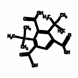 CC(C)(C)c1c(C(=O)O)cc(C(=O)O)c(C(C)(C)C)c1C(=O)O